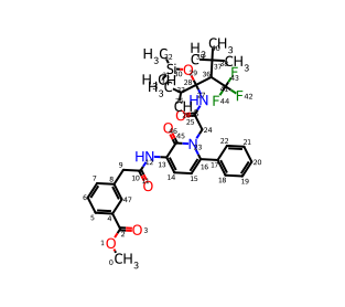 COC(=O)c1cccc(CC(=O)Nc2ccc(-c3ccccc3)n(CC(=O)NC(O[SiH](C)C)(C(C)C)C(C(C)(C)C)C(F)(F)F)c2=O)c1